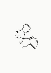 Clc1ccccc1C(Cl)(c1ccccc1Cl)C(Cl)(Cl)Cl